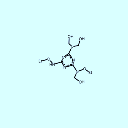 CCONc1nc(N(CO)CO)nc(N(CO)OCC)n1